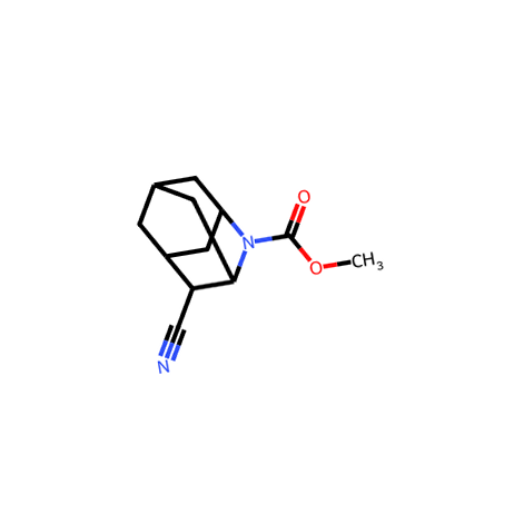 COC(=O)N1C2CC3CC(C2)C(C#N)C1C3